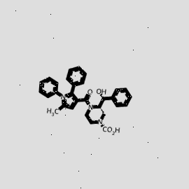 Cc1cc(C(=O)N2CCN(C(=O)O)C[C@H]2[C@@H](O)c2ccccc2)c(-c2ccccc2)n1-c1ccccc1